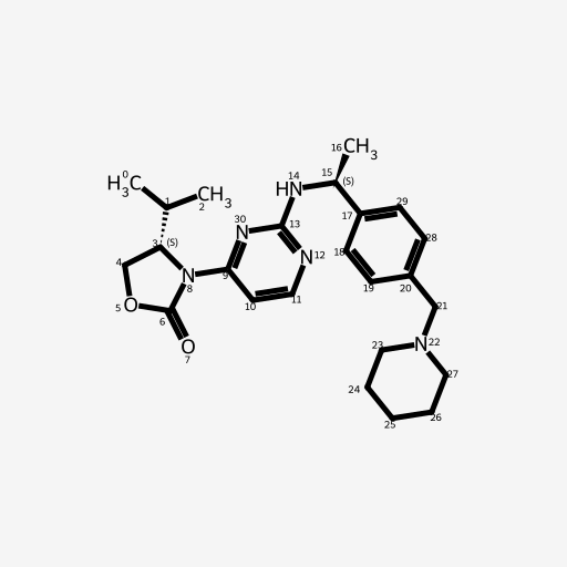 CC(C)[C@H]1COC(=O)N1c1ccnc(N[C@@H](C)c2ccc(CN3CCCCC3)cc2)n1